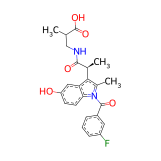 Cc1c([C@H](C)C(=O)NCC(C)C(=O)O)c2cc(O)ccc2n1C(=O)c1cccc(F)c1